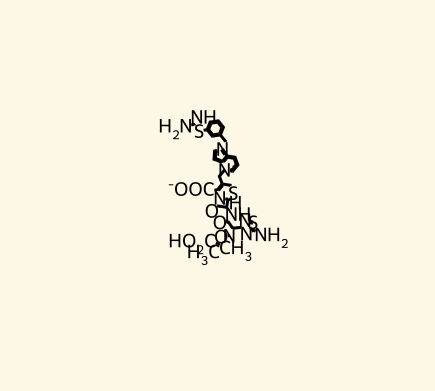 CC(C)(O/N=C(\C(=O)N[C@@H]1C(=O)N2C(C(=O)[O-])=C(C[n+]3cccc4c3ccn4Cc3cccc(SC(=N)N)c3)CS[C@H]12)c1nsc(N)n1)C(=O)O